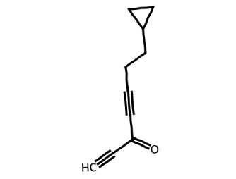 C#CC(=O)C#CCCC1CC1